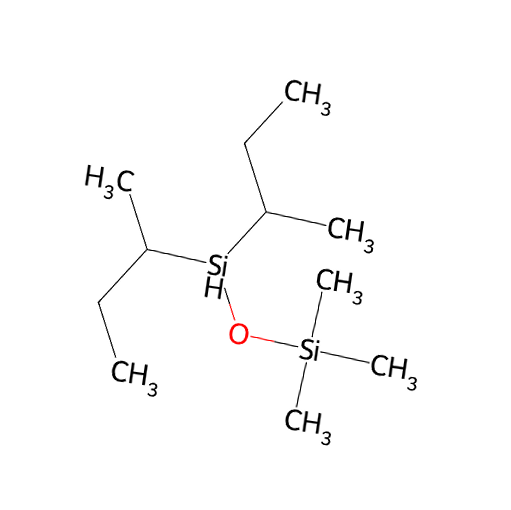 CCC(C)[SiH](O[Si](C)(C)C)C(C)CC